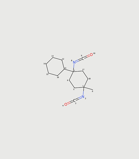 CC1(N=C=O)CCC(N=C=O)(C2CCCCC2)CC1